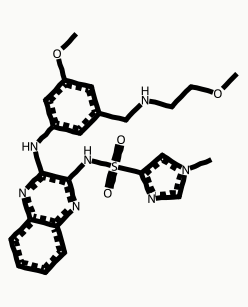 COCCNCc1cc(Nc2nc3ccccc3nc2NS(=O)(=O)c2cn(C)cn2)cc(OC)c1